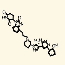 Cn1c(=O)n(C2CCC(=O)NC2=O)c2cccc(CCCN3CCCC(n4cc(-c5cc(-c6ccccc6O)nnc5N)cn4)C3)c21